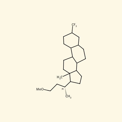 COCC[C@@H](C)C1CCC2C3CCC4CC(C(F)(F)F)CCC4C3CCC21C